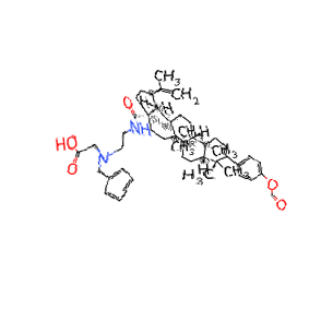 C=C(C)[C@@H]1CC[C@]2(C(=O)NCCN(CC(=O)O)Cc3ccccc3)CC[C@]3(C)[C@H](CC[C@@H]4[C@@]5(C)CC=C(c6ccc(OC=O)cc6)C(C)(C)[C@@H]5CC[C@]43C)[C@@H]12